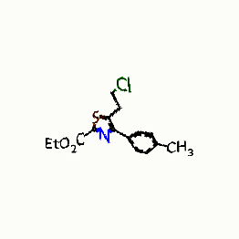 CCOC(=O)c1nc(-c2ccc(C)cc2)c(CCCl)s1